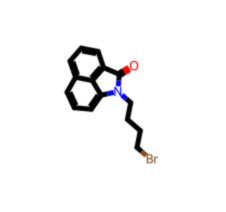 O=C1c2cccc3cccc(c23)N1CCCCBr